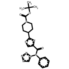 CC(C)(C)OC(=O)N1CCC(c2nc(C(=O)N(c3ccccc3)n3cnnn3)cs2)CC1